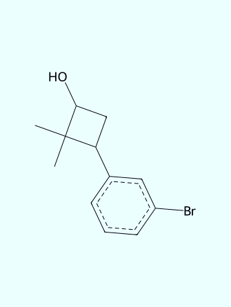 CC1(C)C(O)CC1c1cccc(Br)c1